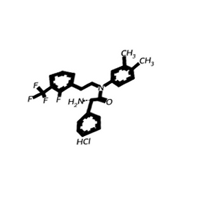 Cc1ccc(N(CCc2cccc(C(F)(F)F)c2F)C(=O)[C@@H](N)c2ccccc2)cc1C.Cl